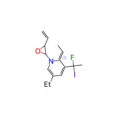 C=CC1OC1N1C=C(CC)C=C(C(C)(F)I)/C1=C/C